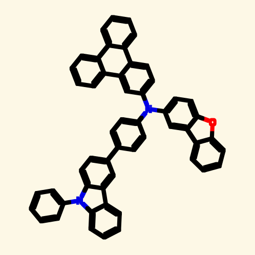 c1ccc(-n2c3ccccc3c3cc(-c4ccc(N(c5ccc6oc7ccccc7c6c5)c5ccc6c7ccccc7c7ccccc7c6c5)cc4)ccc32)cc1